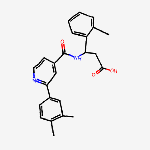 Cc1ccc(-c2cc(C(=O)NC(CC(=O)O)c3ccccc3C)ccn2)cc1C